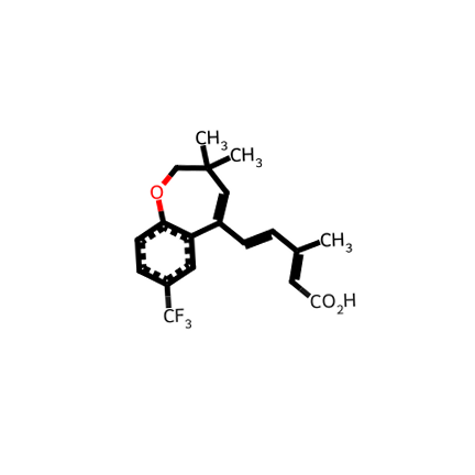 CC(C=CC1=CC(C)(C)COc2ccc(C(F)(F)F)cc21)=CC(=O)O